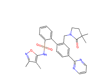 Cc1noc(NS(=O)(=O)c2ccccc2-c2ccc(-c3ncccn3)cc2CN2CCC(C)(C)C2=O)c1C